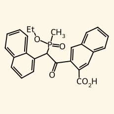 CCOP(C)(=O)C(C(=O)c1cc2ccccc2cc1C(=O)O)c1cccc2ccccc12